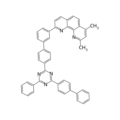 Cc1cc(C)c2ccc3ccc(-c4cccc(-c5ccc(-c6nc(-c7ccccc7)nc(-c7ccc(-c8ccccc8)cc7)n6)cc5)c4)nc3c2n1